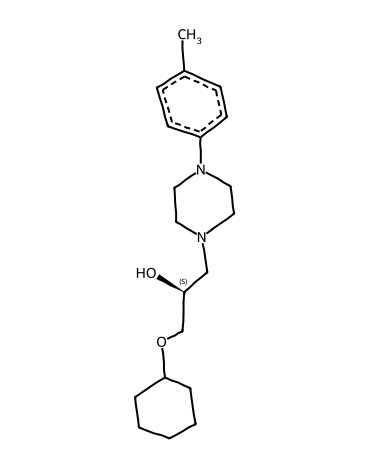 Cc1ccc(N2CCN(C[C@H](O)COC3CCCCC3)CC2)cc1